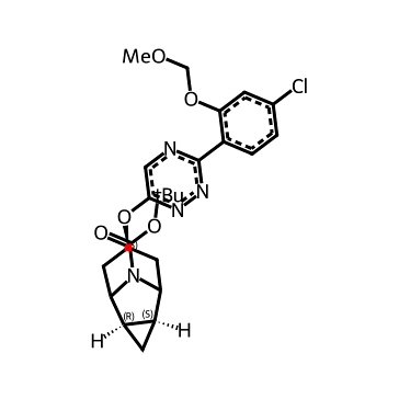 COCOc1cc(Cl)ccc1-c1ncc(O[C@H]2CC3[C@H]4C[C@H]4C(C2)N3C(=O)OC(C)(C)C)nn1